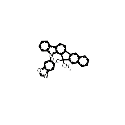 CC1(C)c2cc3ccccc3cc2-c2ccc3c4ccccc4n(-c4ccc5ncoc5c4)c3c21